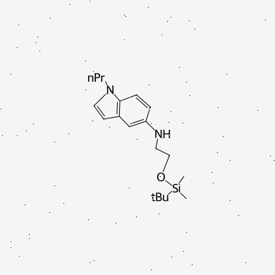 CCCn1ccc2cc(NCCO[Si](C)(C)C(C)(C)C)ccc21